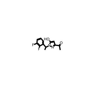 CC(=O)c1cc(O)n(C(C)c2cccc(F)c2F)n1